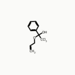 C=CCOC(O)(c1ccccc1)C(Cl)(Cl)Cl